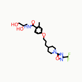 Cc1cc(OCCCC2CCN(c3nc(C(F)F)no3)CC2)ccc1C(=O)NC[C@H](O)CO